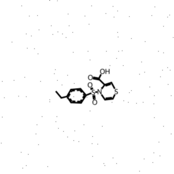 CCc1ccc(S(=O)(=O)N2C=CSC=C2C(=O)O)cc1